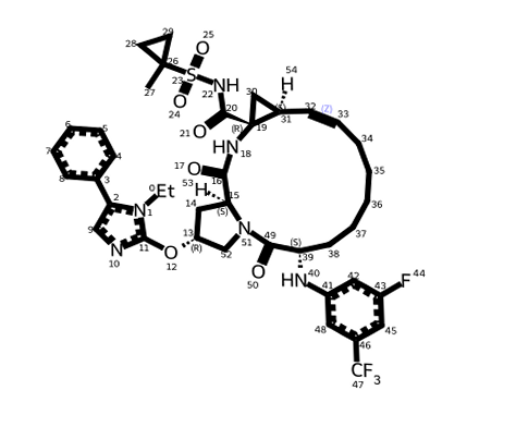 CCn1c(-c2ccccc2)cnc1O[C@@H]1C[C@H]2C(=O)N[C@]3(C(=O)NS(=O)(=O)C4(C)CC4)C[C@H]3/C=C\CCCCC[C@H](Nc3cc(F)cc(C(F)(F)F)c3)C(=O)N2C1